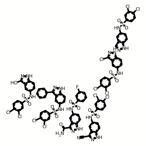 N#Cc1n[nH]c2ccc(NS(=O)(=O)c3ccc(Cl)c(Cl)c3)cc12.NC(=O)c1n[nH]c2ccc(NS(=O)(=O)c3cccc(F)c3)cc12.O=S(=O)(Nc1ccc2[nH]nc(-c3ccccc3)c2c1)c1ccc(Cl)c(Cl)c1.O=S(=O)(Nc1ccc2[nH]nc(Cl)c2c1)c1ccc(Cl)c(Cl)c1.O=S(=O)(Nc1ccc2[nH]nc(O)c2c1)c1ccc(Cl)c(Cl)c1.O=S(=O)(Nc1ccc2[nH]ncc2c1)c1ccc(Cl)c(Cl)c1